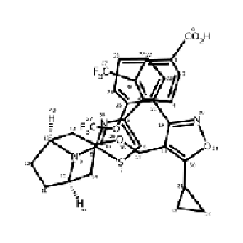 O=C(O)c1ccc(-c2csc(N3[C@@H]4CC[C@H]3CC(OCc3c(-c5ccccc5OC(F)(F)F)noc3C3CC3)C4)n2)c(C(F)(F)F)c1